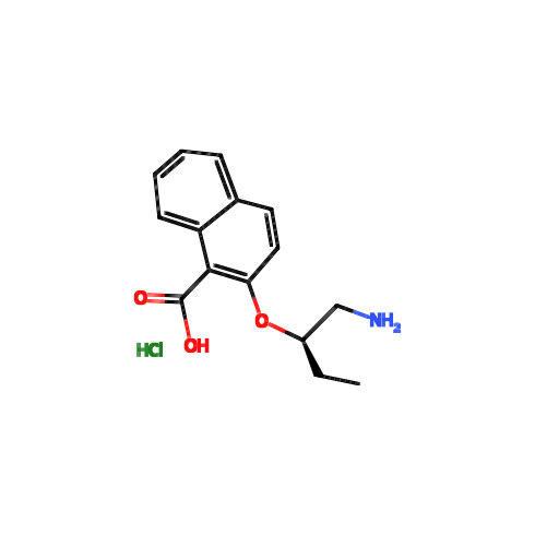 CC[C@H](CN)Oc1ccc2ccccc2c1C(=O)O.Cl